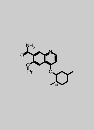 CC1CC[C@@H](C)C(Oc2ccnc3cc(C(N)=O)c(OC(C)C)cc23)C1